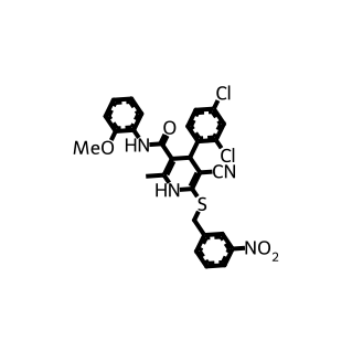 COc1ccccc1NC(=O)C1=C(C)NC(SCc2cccc([N+](=O)[O-])c2)=C(C#N)C1c1ccc(Cl)cc1Cl